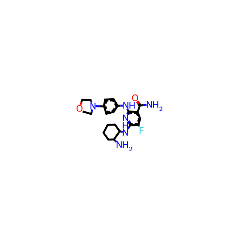 NC(=O)c1cc(F)c(NC2CCCCC2N)nc1Nc1ccc(N2CCOCC2)cc1